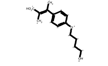 CC(C(=O)O)=C(C)c1ccc(OCCCCO)cc1